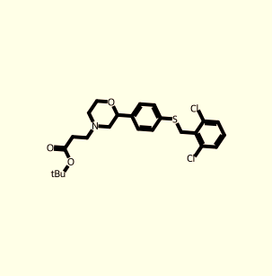 CC(C)(C)OC(=O)CCN1CCOC(c2ccc(SCc3c(Cl)cccc3Cl)cc2)C1